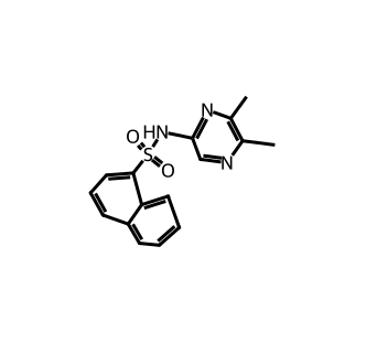 Cc1ncc(NS(=O)(=O)c2cccc3ccccc23)nc1C